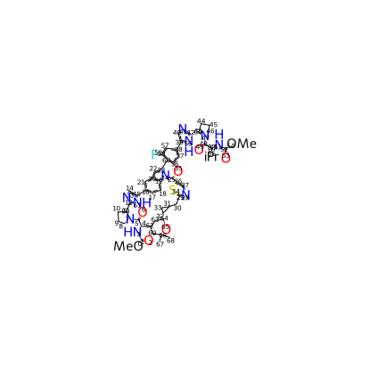 COC(=O)NC(C(=O)N1CCC[C@H]1c1ncc(-c2ccc3c(c2)cc2n3C(c3cnc(CC4CC4)s3)Oc3cc(-c4cnc([C@@H]5CCCN5C(=O)[C@@H](NC(=O)OC)C(C)C)[nH]4)cc(F)c3-2)[nH]1)C1CCOC(C)(C)C1